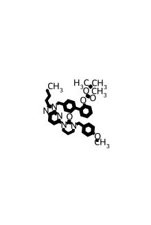 CCCCc1nc2ccc(N3CCCN(Cc4ccc(OC)cc4)C3=O)nc2n1Cc1ccc(-c2ccccc2OC(=O)OC(C)(C)C)cc1